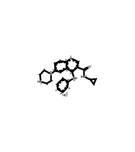 Cl.O=C(NC1CC1)c1cnc2ccc(N3CCNCC3)cc2c1Nc1ccccc1